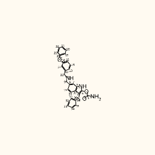 NC(=O)Oc1[nH]c2cc(CNCc3cccc(Oc4ccccc4)c3)ccc2c1Sc1ccccc1